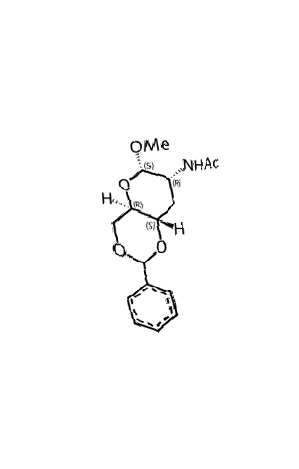 CO[C@H]1O[C@@H]2COC(c3ccccc3)O[C@H]2C[C@H]1NC(C)=O